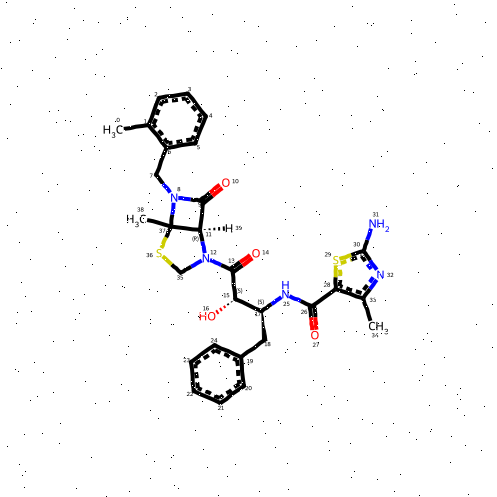 Cc1ccccc1CN1C(=O)[C@H]2N(C(=O)[C@@H](O)[C@H](Cc3ccccc3)NC(=O)c3sc(N)nc3C)CSC21C